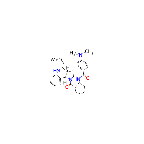 COC[C@@H]1Nc2ccccc2[C@H]2[C@H]1CCN2C(=O)[C@H]1CCCC[C@H]1NC(=O)c1ccc(N(C)C)cc1